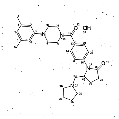 Cc1cc(C)cc(N2CCN(C(=O)c3ccc(N4C(=O)CCC4CN4CCCC4)cc3)CC2)c1.Cl